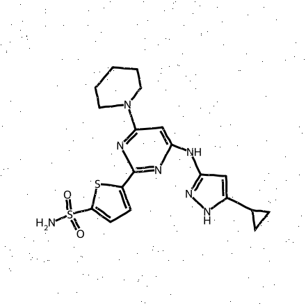 NS(=O)(=O)c1ccc(-c2nc(Nc3cc(C4CC4)[nH]n3)cc(N3CCCCC3)n2)s1